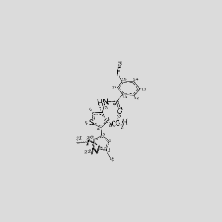 Cc1cc(-c2scc(NC(=O)c3cccc(F)c3)c2C(=O)O)n(C)n1